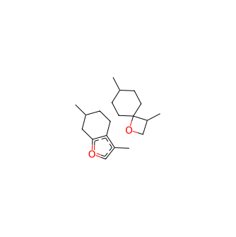 CC1CCC2(CC1)OCC2C.Cc1coc2c1CCC(C)C2